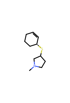 CN1CCC(S[C@@H]2C=CCCC2)C1